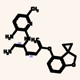 C=C(/C=N\C(=C/N)Nc1nc(C)ccc1N)Oc1cccc2c1C1(CC1)CO2